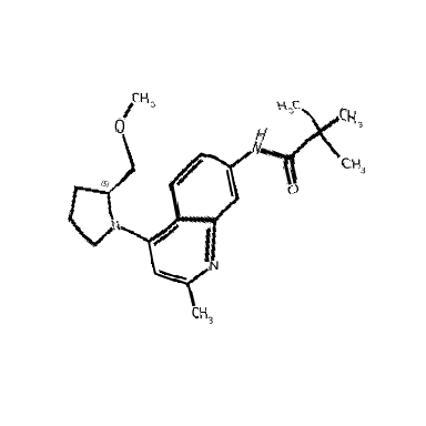 COC[C@@H]1CCCN1c1cc(C)nc2cc(NC(=O)C(C)(C)C)ccc12